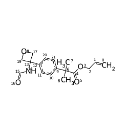 C=CCOC(=O)C(C)(C)c1ccc(C2(NC=O)COC2)cc1